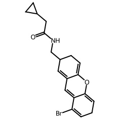 O=C(CC1CC1)NCC1C=C2C=C3C(Br)=CCC=C3OC2=CC1